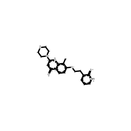 Cc1c(OCCc2ccc[nH]c2=S)ccc2c(=O)cc(N3CCOCC3)oc12